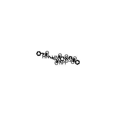 CCCN1C(=O)[C@H](CCCCNC(=O)OCc2ccccc2)NC(=O)C12CCN(S(=O)(=O)c1ccc(S(=O)(=O)c3ccccc3)s1)CC2